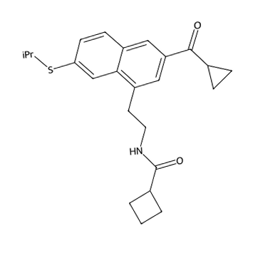 CC(C)Sc1ccc2cc(C(=O)C3CC3)cc(CCNC(=O)C3CCC3)c2c1